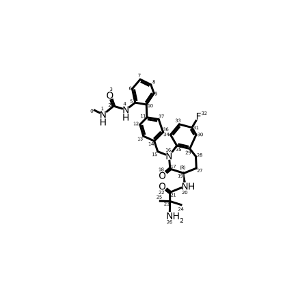 CNC(=O)Nc1ccccc1-c1ccc(CN2C(=O)[C@H](NC(=O)C(C)(C)N)CCc3cc(F)ccc32)cc1